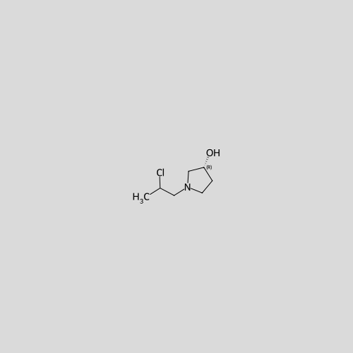 CC(Cl)CN1CC[C@@H](O)C1